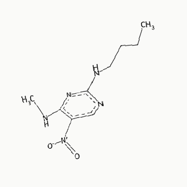 CCCCNc1ncc([N+](=O)[O-])c(NC)n1